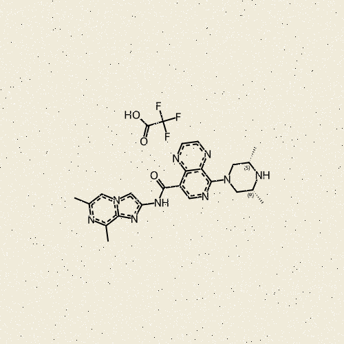 Cc1cn2cc(NC(=O)c3cnc(N4C[C@@H](C)N[C@@H](C)C4)c4nccnc34)nc2c(C)n1.O=C(O)C(F)(F)F